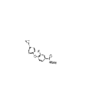 CNC(=O)c1ccc(Oc2ccc(C3CC3)cc2)c(F)c1